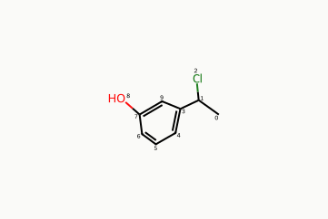 CC(Cl)c1cccc(O)c1